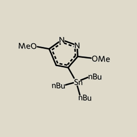 CCC[CH2][Sn]([CH2]CCC)([CH2]CCC)[c]1cc(OC)nnc1OC